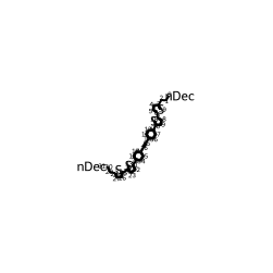 CCCCCCCCCCCCc1ccc(-c2ccc(-c3ccc(C#Cc4ccc(-c5ccc(-c6ccc(CCCCCCCCCCCC)s6)s5)cc4)cc3)s2)s1